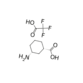 N[C@@H]1CCC[C@H](C(=O)O)C1.O=C(O)C(F)(F)F